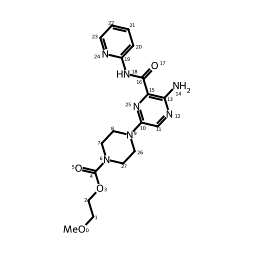 COCCOC(=O)N1CCN(c2cnc(N)c(C(=O)Nc3ccccn3)n2)CC1